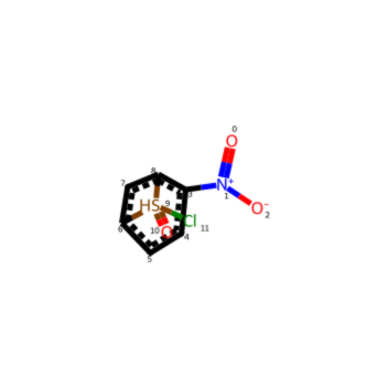 O=[N+]([O-])c1ccc2cc1[SH]2(=O)Cl